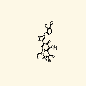 CCN1C(=O)c2c(O)c(=O)c(-c3cnn(Cc4cccc(Cl)c4F)c3)cn2N2CCCC[C@H]12